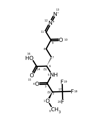 CO[C@@H](C(=O)N[C@@H](CCC(=O)C=[N+]=[N-])C(=O)O)C(F)(F)F